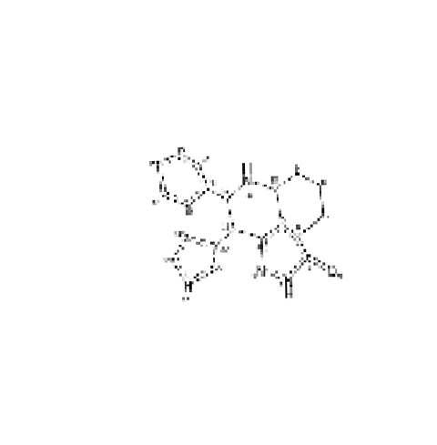 O=c1[nH]nc2c3c1CCCC3NC(c1ccccc1)C2c1cncs1